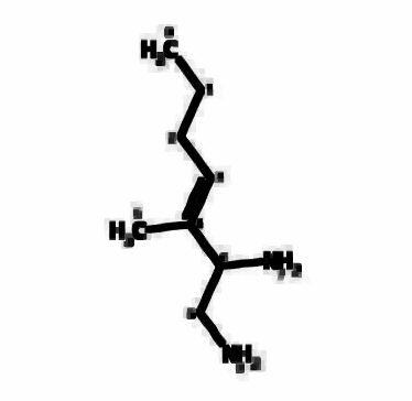 CCC/C=C(\C)C(N)CN